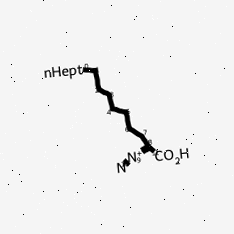 CCCCCCCCCCCCCCC(=[N+]=[N-])C(=O)O